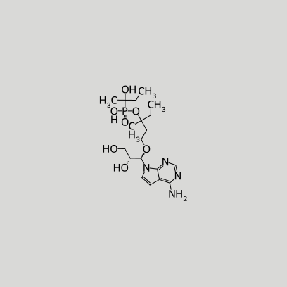 CCC(C)(CCO[C@H]([C@H](O)CO)n1ccc2c(N)ncnc21)OP(=O)(O)C(C)(O)CC